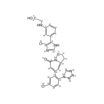 O=C(O)CNc1cccc(-c2[nH]c([C@@H]3CCc4cc(-c5cc(Cl)ccc5-n5cnnn5)cc(=O)n43)nc2Cl)c1